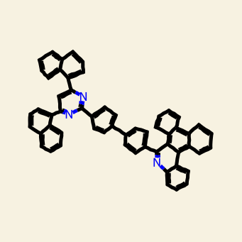 c1ccc2c(-c3cc(-c4cccc5ccccc45)nc(-c4ccc(-c5ccc(-c6nc7ccccc7c7c8ccccc8c8ccccc8c67)cc5)cc4)n3)cccc2c1